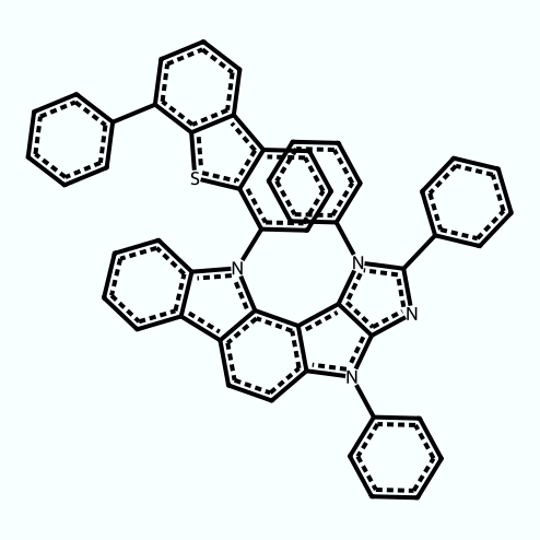 c1ccc(-c2cccc3c2sc2c(-n4c5ccccc5c5ccc6c(c7c(nc(-c8ccccc8)n7-c7ccccc7)n6-c6ccccc6)c54)cccc23)cc1